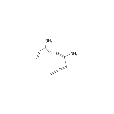 C=C=CC(N)=O.C=CC(N)=O